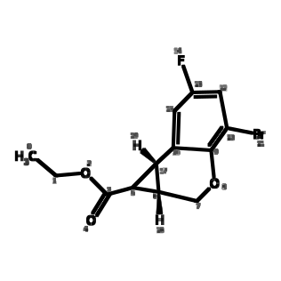 CCOC(=O)C1[C@H]2COc3c(Br)cc(F)cc3[C@@H]12